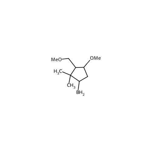 BC1CC(OC)C(COC)C1(C)C